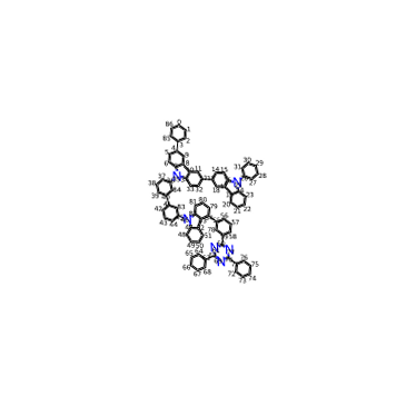 c1ccc(-c2ccc3c(c2)c2cc(-c4ccc5c(c4)c4ccccc4n5-c4ccccc4)ccc2n3-c2cccc(-c3cccc(-n4c5ccccc5c5c(-c6cccc(-c7nc(-c8ccccc8)nc(-c8ccccc8)n7)c6)cccc54)c3)c2)cc1